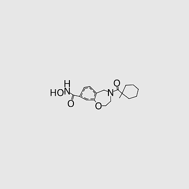 CC1(C(=O)N2CCOc3cc(C(=O)NO)ccc3C2)CCCCC1